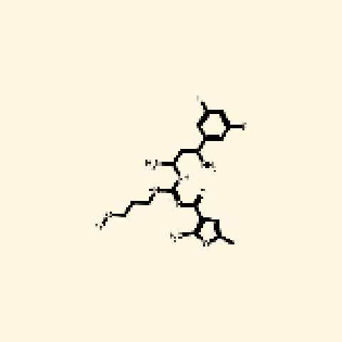 CCOCCCN/C(=N/C(=O)c1cc(C)oc1C(F)(F)F)NC(N)CC(N)c1cc(F)cc(F)c1